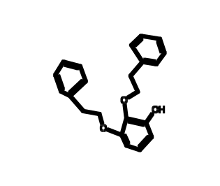 Oc1cccc(OCCc2ccccc2)c1OCCc1ccccc1